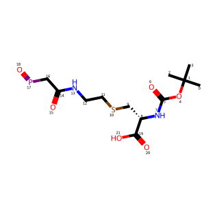 CC(C)(C)OC(=O)N[C@@H](CSCCNC(=O)CP=O)C(=O)O